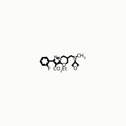 CCOC(=O)c1c(-c2ccccc2F)nn2c1OCC(CN(C)C1COC1)C2